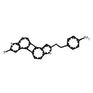 Fc1cc2c3c(ccc2s1)-c1c-3ccc2sc(CCc3ccc(P)cc3)cc12